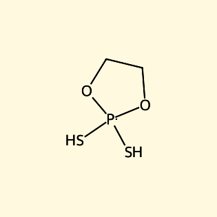 S[P]1(S)OCCO1